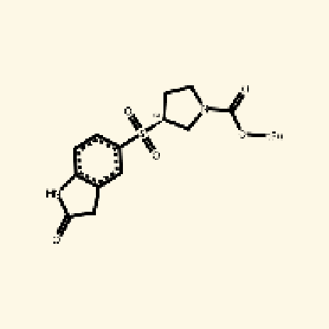 CC(C)(C)OC(=O)N1CC[C@H](S(=O)(=O)c2ccc3c(c2)CC(=O)N3)C1